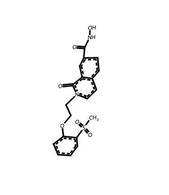 CS(=O)(=O)c1ccccc1OCCn1ccc2ccc(C(=O)NO)cc2c1=O